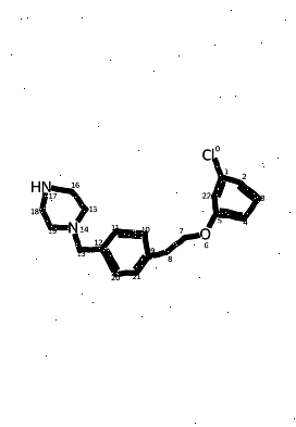 Clc1cccc(OCCc2ccc(CN3CCNCC3)cc2)c1